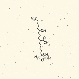 CCCCCC(O)CCCC(CCCCCC(C)(C)C(=O)O)C(C)=O